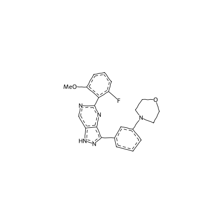 COc1cccc(F)c1-c1ncc2[nH]nc(-c3cccc(N4CCOCC4)c3)c2n1